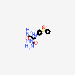 NC(=O)Nc1cn(-c2ccc([S+]([O-])C3CCCC3)cc2)nc1C(N)=O